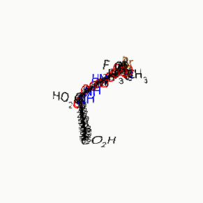 CN(C)S(=O)(=O)c1cc(Br)cc(C(F)(F)F)c1OC(=O)COCCOCCNC(=O)COCCOCCNC(=O)CCC(NC(=O)CCCCCCCCCCCCCCCCC(=O)O)C(=O)O